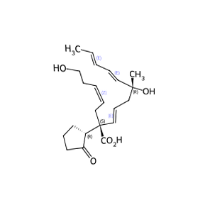 C/C=C/C=C/[C@](C)(O)C/C=C/[C@](C/C=C\CCO)(C(=O)O)[C@H]1CCCC1=O